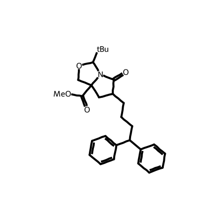 COC(=O)C12COC(C(C)(C)C)N1C(=O)C(CCCC(c1ccccc1)c1ccccc1)C2